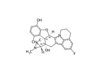 Cc1ccc(O)c2c1[C@]13CC4[C@@H](N4C)[C@]1(O)Cc1c(n4c5c(cc(F)cc15)CCC4)[C@@H]3O2